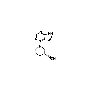 C#CC1CCCN(c2ncnc3[nH]ccc23)C1